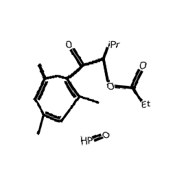 CCC(=O)OC(C(=O)c1c(C)cc(C)cc1C)C(C)C.O=P